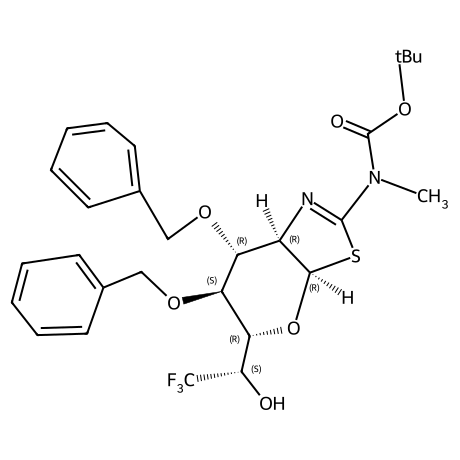 CN(C(=O)OC(C)(C)C)C1=N[C@@H]2[C@@H](OCc3ccccc3)[C@H](OCc3ccccc3)[C@@H]([C@H](O)C(F)(F)F)O[C@@H]2S1